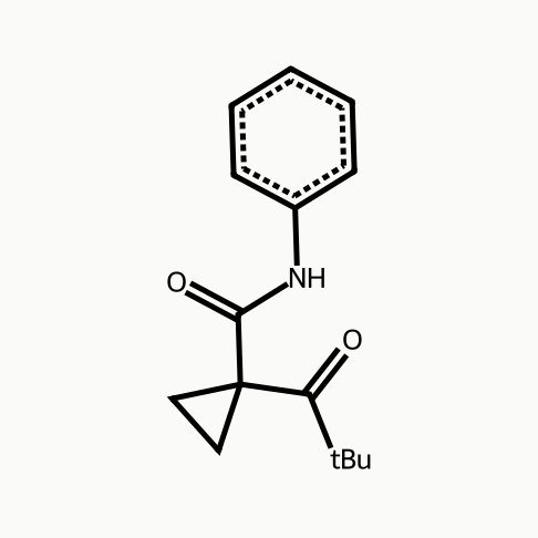 CC(C)(C)C(=O)C1(C(=O)Nc2ccccc2)CC1